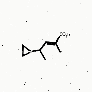 CC(=CC(C)N1CC1)C(=O)O